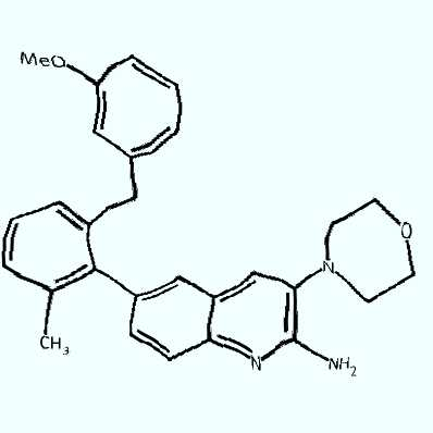 COc1cccc(Cc2cccc(C)c2-c2ccc3nc(N)c(N4CCOCC4)cc3c2)c1